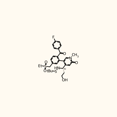 CCS(=O)(=O)Cc1ccc(C(=O)c2ccc(F)cc2)c(-c2cn(C)c(=O)cc2[C@H](CCO)NSC(C)(C)C)c1